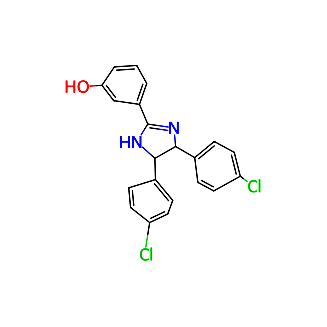 Oc1cccc(C2=NC(c3ccc(Cl)cc3)C(c3ccc(Cl)cc3)N2)c1